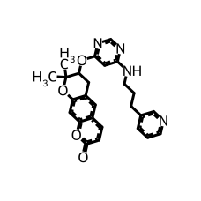 CC1(C)Oc2cc3oc(=O)ccc3cc2CC1Oc1cc(NCCCc2cccnc2)ncn1